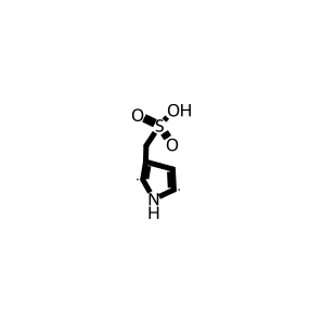 O=S(=O)(O)Cc1[c][nH][c]c1